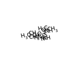 CC(C)NC(=O)c1cc2c(NC(=O)c3ccc(C(C)(C)C)cc3)n[nH]c2s1